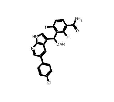 COC(c1c(F)ccc(C(N)=O)c1F)c1c[nH]c2ncc(-c3ccc(Cl)cc3)cc12